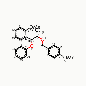 COc1ccc(CO[C@@H](C)[C@H](Oc2ccccc2)c2ccccc2OC)cc1